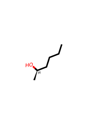 CCCC[C@@H](C)O